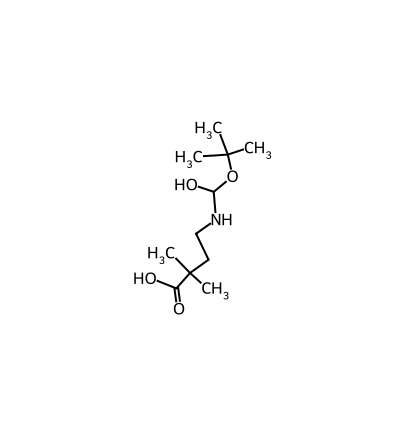 CC(C)(C)OC(O)NCCC(C)(C)C(=O)O